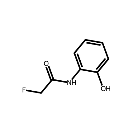 O=C(CF)Nc1ccccc1O